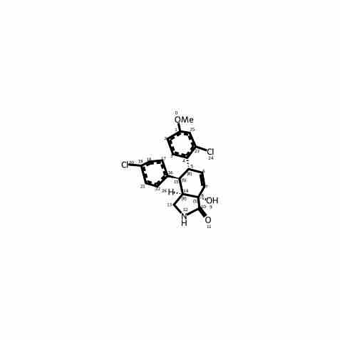 COc1ccc([C@@H]2C=C[C@@]3(O)C(=O)NC[C@H]3[C@H]2c2ccc(Cl)cc2)c(Cl)c1